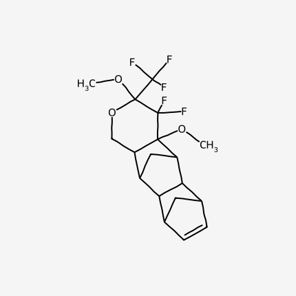 COC12C(COC(OC)(C(F)(F)F)C1(F)F)C1CC2C2C3C=CC(C3)C12